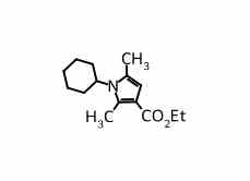 CCOC(=O)c1cc(C)n(C2CCCCC2)c1C